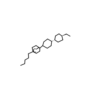 CCCCCC12CCC(C3CCC([C@H]4CC[C@H](CC)CC4)CC3)(CC1)CC2